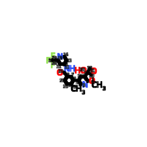 COc1ncc(-c2cc(C(=O)Nc3ccnc(C(F)(F)F)c3)ccc2C)cc1C1(O)COC1